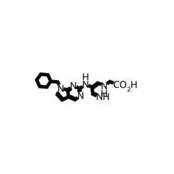 N=C/C(=C\NCC(=O)O)Nc1ncc2ccn(CC3CCCCC3)c2n1